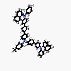 CC(C)(C)c1ccc(N(c2ccc(-c3ccc(-c4ccc(N(c5ccccc5)c5cccc6ccccc56)cc4)cc3)cc2)c2ccc(-c3ccc(N(c4ccccc4)c4cccc5ccccc45)cc3)cc2)cc1